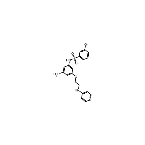 Cc1cc(NS(=O)(=O)c2cccc([O])c2)cc(OCCNc2ccncc2)c1